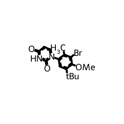 COc1c(C(C)(C)C)cc(-n2ccc(=O)[nH]c2=O)c(C)c1Br